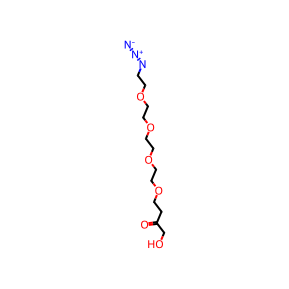 [N-]=[N+]=NCCOCCOCCOCCOCCC(=O)CO